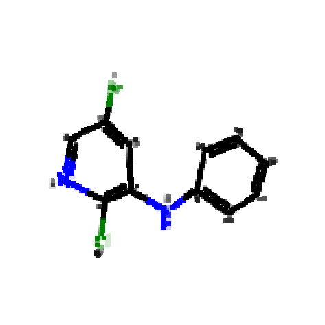 Clc1ncc(Br)cc1Nc1ccccc1